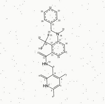 C=C1NC(C)=CC(C)=C1CNC(=C)c1cccc(N(C)Cc2ccccc2)c1C(C)(F)F